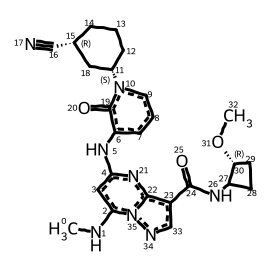 CNc1cc(Nc2cccn([C@H]3CCC[C@@H](C#N)C3)c2=O)nc2c(C(=O)NC3CC[C@H]3OC)cnn12